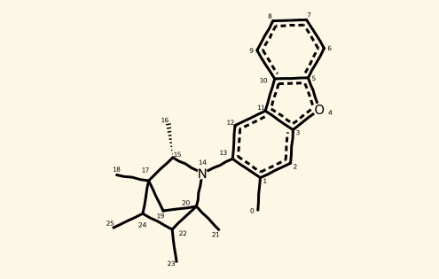 Cc1cc2oc3ccccc3c2cc1N1[C@@H](C)C2(C)CC1(C)C(C)C2C